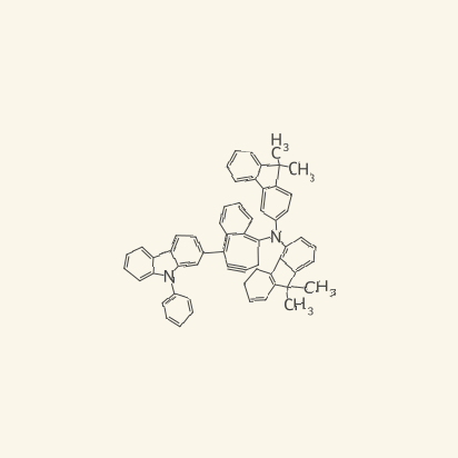 CC1(C)C2=C(CCC=C2)c2c(N(C3=c4ccccc4=C(c4ccc5c6ccccc6n(-c6ccccc6)c5c4)C#CC3)c3ccc4c(c3)-c3ccccc3C4(C)C)cccc21